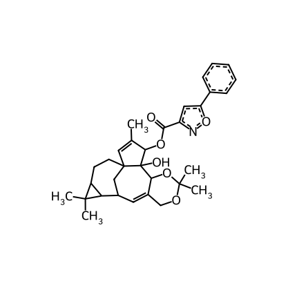 CC1=CC23CCC4C(C(C=C5COC(C)(C)OC5C2(O)C1OC(=O)c1cc(-c2ccccc2)on1)C3)C4(C)C